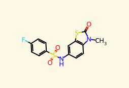 Cn1c(=O)sc2cc(NS(=O)(=O)c3ccc(F)cc3)ccc21